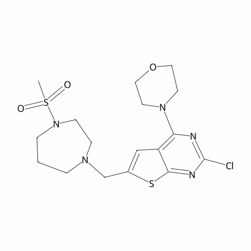 CS(=O)(=O)N1CCCN(Cc2cc3c(N4CCOCC4)nc(Cl)nc3s2)CC1